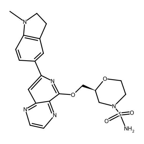 CN1CCc2cc(-c3cc4nccnc4c(OC[C@@H]4CN(S(N)(=O)=O)CCO4)n3)ccc21